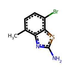 Cc1ccc(Br)c2sc(N)nc12